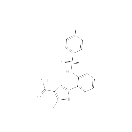 Cc1[nH]c(-c2ccccc2NS(=O)(=O)c2ccc(Cl)cc2)cc1C(N)=O